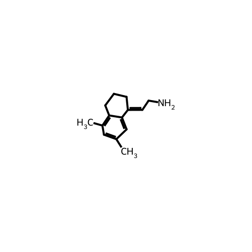 Cc1cc(C)c2c(c1)C(=CCN)CCC2